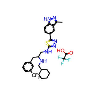 Cc1n[nH]c2ccc(-c3nnc(NCC(Cc4cccc(C(F)(F)F)c4)NCC4CCCCC4)s3)cc12.O=C(O)C(F)(F)F